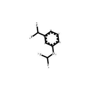 FC(F)Oc1[c]c(C(F)F)ccc1